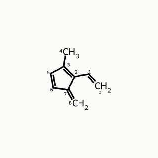 C=CC1=C(C)C=CC1=C